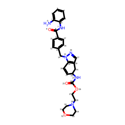 Nc1ccccc1NC(=O)c1ccc(Cn2ncc3c2C=CC(NC(=O)OCCN2CCOCC2)C3)cc1